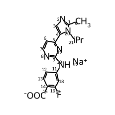 Cc1ncc(-c2ccnc(Nc3ccc(C(=O)[O-])c(F)c3)n2)n1C(C)C.[Na+]